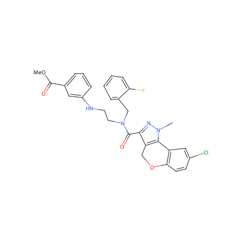 COC(=O)c1cccc(NCCN(Cc2ccccc2F)C(=O)c2nn(C)c3c2COc2ccc(Cl)cc2-3)c1